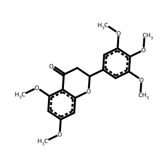 COc1cc(OC)c2c(c1)OC(c1cc(OC)c(OC)c(OC)c1)CC2=O